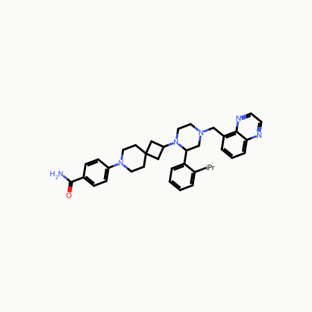 CC(C)c1ccccc1C1CN(Cc2cccc3nccnc23)CCN1C1CC2(CCN(c3ccc(C(N)=O)cc3)CC2)C1